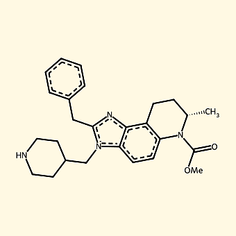 COC(=O)N1c2ccc3c(nc(Cc4ccccc4)n3CC3CCNCC3)c2CC[C@@H]1C